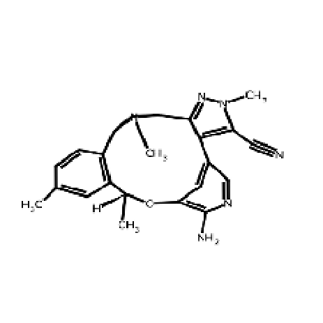 Cc1ccc2c(c1)[C@@H](C)Oc1cc(cnc1N)-c1c(nn(C)c1C#N)C1CC2N1C